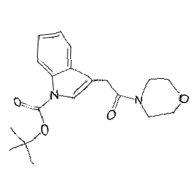 CC(C)(C)OC(=O)n1cc(CC(=O)N2CCOCC2)c2ccccc21